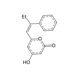 CCC(=Cc1cc(O)cc(=O)o1)c1ccccc1